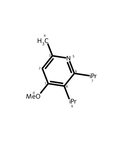 COc1cc(C)nc(C(C)C)c1C(C)C